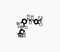 O=C(Nc1ccc(Br)c(C(=O)Nc2cnc3[nH]ncc3c2)c1)Nc1ccc(Cl)c(C(F)(F)F)c1